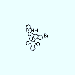 O=C1c2ccccc2C(=O)c2c1oc1c(C(=O)Nc3ccccn3)cc3cc(Br)ccc3c21